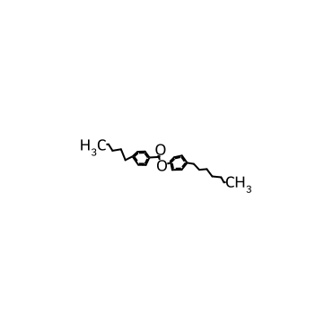 CCCCCCCc1ccc(OC(=O)c2ccc(CCCCC)cc2)cc1